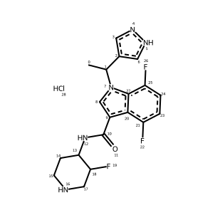 CC(c1cn[nH]c1)n1cc(C(=O)NC2CCNCC2F)c2c(F)ccc(F)c21.Cl